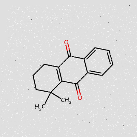 CC1(C)CCCC2=C1C(=O)c1ccccc1C2=O